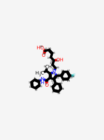 CC(C)c1c(C(=O)Nc2ccccc2)c(-c2ccccc2)c(-c2ccc(F)cc2)n1CCC(O)C/C=C\C(=O)O